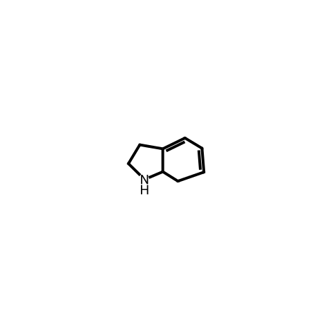 C1=CCC2NCCC2=C1